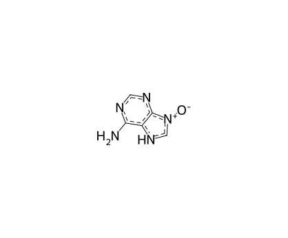 Nc1ncnc2c1[nH]c[n+]2[O-]